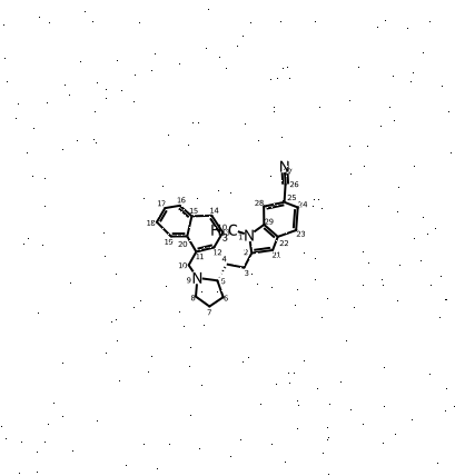 Cn1c(CC[C@@H]2CCCN2Cc2cccc3ccccc23)cc2ccc(C#N)cc21